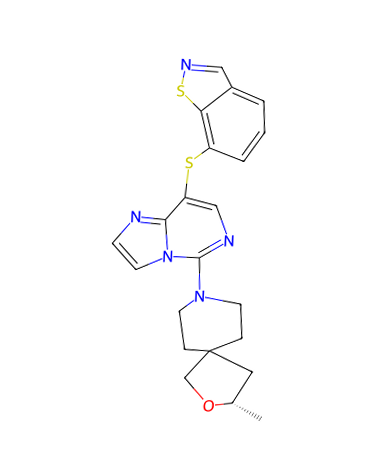 C[C@H]1CC2(CCN(c3ncc(Sc4cccc5cnsc45)c4nccn34)CC2)CO1